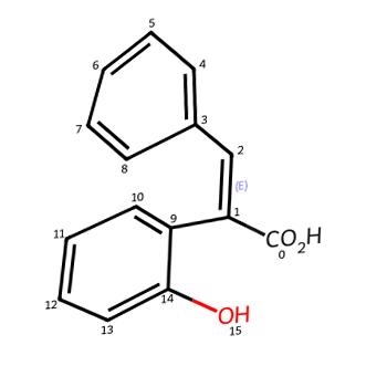 O=C(O)/C(=C/c1ccccc1)c1ccccc1O